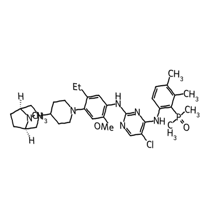 CCc1cc(Nc2ncc(Cl)c(Nc3ccc(C)c(C)c3P(C)(C)=O)n2)c(OC)cc1N1CCC(N2C[C@H]3CC[C@@H](C2)N3C)CC1